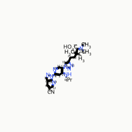 CC(C)Nc1cc(-n2ncc3cc(C#N)cnc32)ncc1-n1cc(CCC(C)(C)C(C(=O)O)N(C)C)nn1